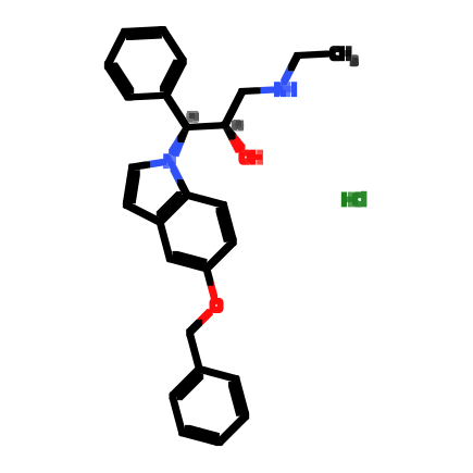 CCNC[C@@H](O)[C@H](c1ccccc1)n1ccc2cc(OCc3ccccc3)ccc21.Cl